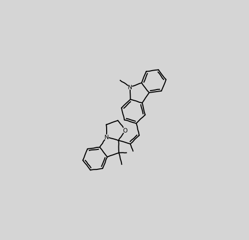 CC(=Cc1ccc2c(c1)c1ccccc1n2C)C12OCCN1c1ccccc1C2(C)C